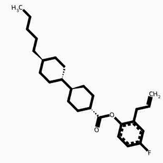 C=CCc1cc(F)ccc1OC(=O)[C@H]1CC[C@H]([C@H]2CC[C@H](CCCCC)CC2)CC1